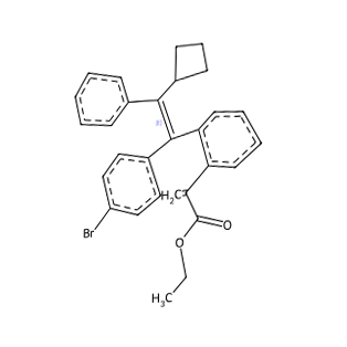 C=C(C(=O)OCC)c1ccccc1/C(=C(/c1ccccc1)C1CCC1)c1ccc(Br)cc1